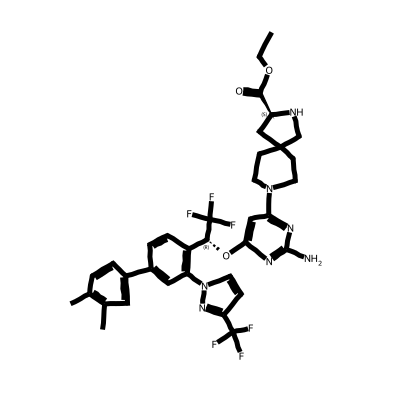 CCOC(=O)[C@@H]1CC2(CCN(c3cc(O[C@H](c4ccc(-c5ccc(C)c(C)c5)cc4-n4ccc(C(F)(F)F)n4)C(F)(F)F)nc(N)n3)CC2)CN1